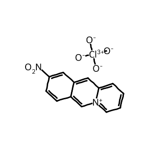 O=[N+]([O-])c1ccc2c[n+]3ccccc3cc2c1.[O-][Cl+3]([O-])([O-])[O-]